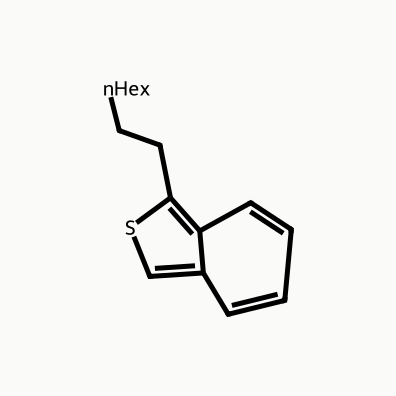 CCCCCCCCc1scc2ccccc12